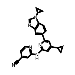 N#Cc1ccnc(Nc2cc(C3CC3)cc(-c3ccc4c(c3)ncn4C3CC3)n2)c1